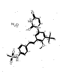 COc1c(/C=C/c2ccc(NS(C)(=O)=O)cc2)cc(-n2ccc(=O)[nH]c2=O)cc1C(C)(C)C.O